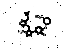 CCc1nc(-c2nnn(C)c2Cn2nnnc2CC2CC2)ccc1O[C@H]1CCC[C@H](C(=O)O)C1